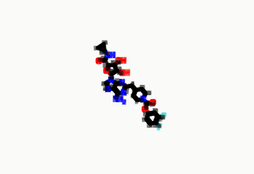 Nc1nc(CC2CCN(C(=O)Oc3ccc(F)c(F)c3)CC2)nc2c1ncn2[C@@H]1O[C@H](C(=O)NC2CC2)C(O)C1O